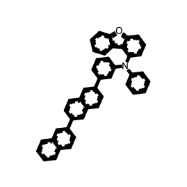 c1ccc(N(c2cccc(-c3ccc4cc(-c5ccc6ccccc6c5)ccc4c3)c2)c2cccc3oc4ccccc4c23)cc1